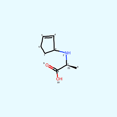 C[C@H](NC1C=CCC1)C(=O)O